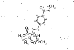 CCC(=O)c1ccc(CCC(NC(C)=O)(C(C)=O)C(C)=O)cc1